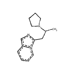 CC(Cc1ncc2ccccn12)N1CCCC1